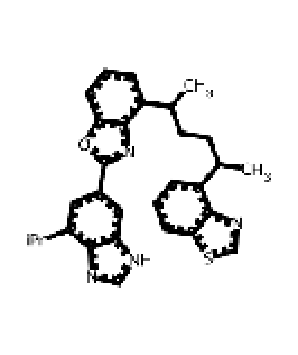 CC(C)c1cc(-c2nc3c(C(C)CCC(C)c4cccc5scnc45)cccc3o2)cc2[nH]cnc12